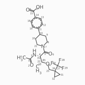 CC(=O)N[C@H](C(=O)N1CCC(c2ccc(C(=O)O)cc2)CC1)[C@@H](C)OCC1(C(F)(F)F)CC1